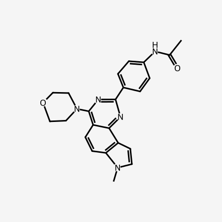 CC(=O)Nc1ccc(-c2nc(N3CCOCC3)c3ccc4c(ccn4C)c3n2)cc1